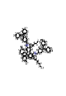 CCCCCCOc1ccc(C2(c3ccc(OCCCCCC)c(/C=C/c4ccc(N(c5ccccc5)c5ccccc5)cc4)c3)c3cc(C)ccc3-c3ccc(C)cc32)cc1/C=C/c1ccc(N(c2ccccc2)c2ccccc2)cc1